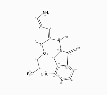 CC(OCCC(F)(F)F)/C(=C\C=C/N)C(C)N1Cc2c(ccnc2C=O)C1=O